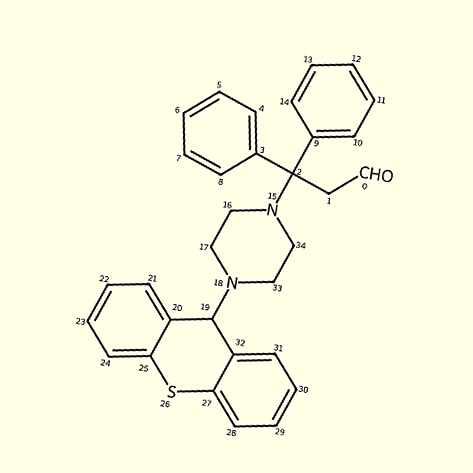 O=CCC(c1ccccc1)(c1ccccc1)N1CCN(C2c3ccccc3Sc3ccccc32)CC1